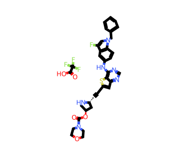 O=C(O)C(F)(F)F.O=C(O[C@H]1CN[C@H](C#Cc2cc3ncnc(Nc4ccc5c(c4)c(F)cn5Cc4ccccc4)c3s2)C1)N1CCOCC1